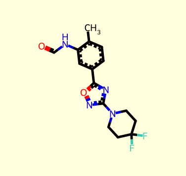 Cc1ccc(-c2nc(N3CCC(F)(F)CC3)no2)cc1NC=O